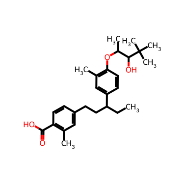 CCC(CCc1ccc(C(=O)O)c(C)c1)c1ccc(OC(C)C(O)C(C)(C)C)c(C)c1